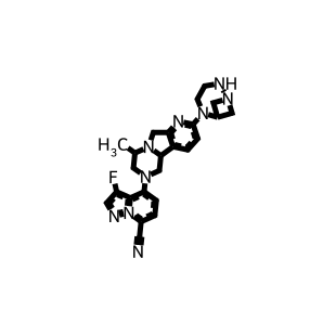 CC1CN(c2ccc(C#N)n3ncc(F)c23)CC2c3ccc(N4CCNN5CC4C5)nc3CN12